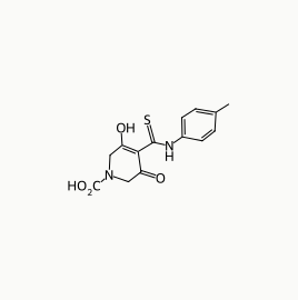 Cc1ccc(NC(=S)C2=C(O)CN(C(=O)O)CC2=O)cc1